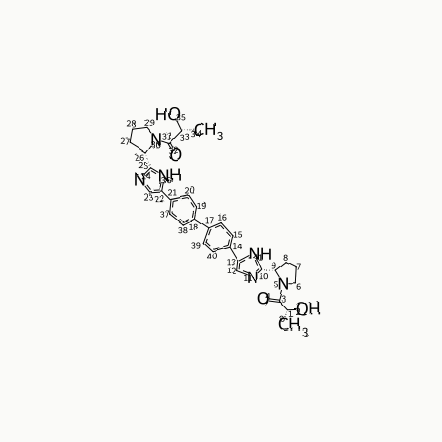 C[C@@H](O)C(=O)N1CCC[C@H]1c1ncc(-c2ccc(-c3ccc(-c4cnc([C@@H]5CCCN5C(=O)[C@@H](C)O)[nH]4)cc3)cc2)[nH]1